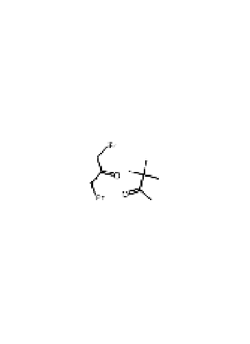 CC(=O)C(C)(C)C.CC(C)CC(=O)CC(C)C